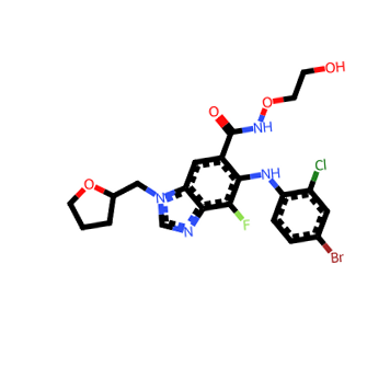 O=C(NOCCO)c1cc2c(ncn2CC2CCCO2)c(F)c1Nc1ccc(Br)cc1Cl